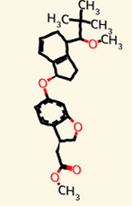 COC(=O)C[C@@H]1COc2cc(O[C@@H]3CCC4=C3C=CCC4C(OC)C(C)(C)C)ccc21